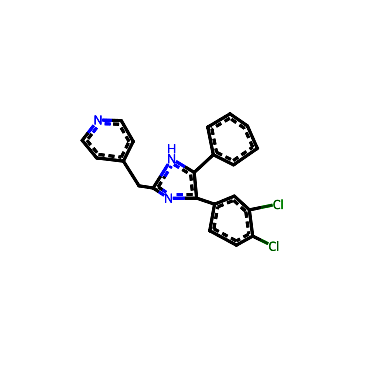 Clc1ccc(-c2nc(Cc3ccncc3)[nH]c2-c2ccccc2)cc1Cl